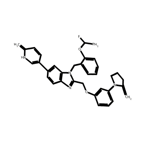 C=C1C=CC(c2ccc3nc(COc4cccc(N5CCCC5=C)c4)n(Cc4ccccc4OC(F)P)c3c2)=CN1